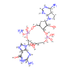 NOP1(=O)OCC2CC(N3C=CC4C(N)=NC=NC43)C(O)C2OP(=O)(O)OCC2OC(n3cnc4c(=O)[nH]c(N)nc43)C(O1)C2O